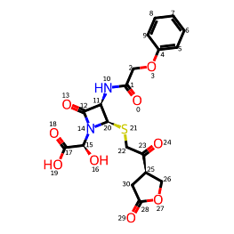 O=C(COc1ccccc1)N[C@@H]1C(=O)N([C@@H](O)C(=O)O)[C@@H]1SCC(=O)[C@H]1COC(=O)C1